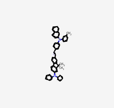 Cc1cccc(N(c2ccc(/C=C/c3ccc4c(c3)C(C)(C)c3cc(N(c5ccccc5)c5ccccc5)ccc3-4)cc2)c2ccc3ccccc3c2)c1